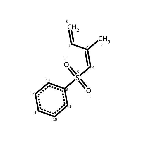 C=CC(C)=CS(=O)(=O)c1ccccc1